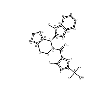 Cc1nc(C(C)(C)O)oc1C(=O)N1CCc2[nH]cnc2[C@H]1c1oc2ccccc2c1C